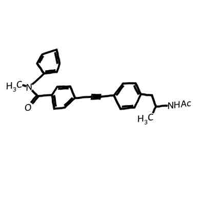 CC(=O)NC(C)Cc1ccc(C#Cc2ccc(C(=O)N(C)c3ccccc3)cc2)cc1